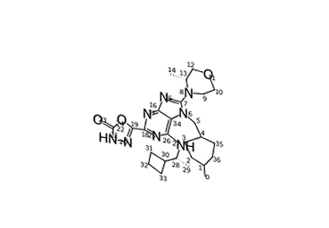 CC1CCC(Cn2c(N3CCOC[C@H]3C)nc3nc(-c4n[nH]c(=O)o4)nc(N[C@H](C)C4CCC4)c32)CC1